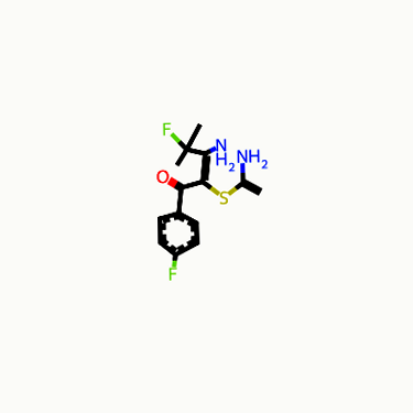 C=C(N)S/C(C(=O)c1ccc(F)cc1)=C(\N)C(C)(C)F